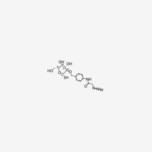 [N-]=[N+]=NCC(=O)Nc1ccc(CO[C@@H]2[C@@H](O)[C@@H](O)[C@@H](CO)O[C@H]2S)cc1